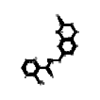 Nc1nccnc1C(=O)NCc1ccc2c(c1)NC(=O)CO2